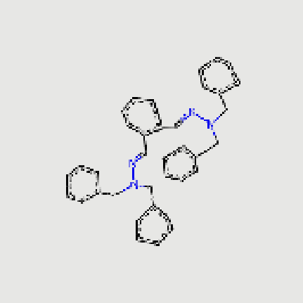 C(=NN(Cc1ccccc1)Cc1ccccc1)c1ccccc1C=NN(Cc1ccccc1)Cc1ccccc1